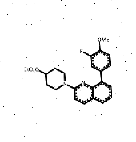 CCOC(=O)C1CCN(c2ccc3cccc(-c4ccc(OC)c(F)c4)c3n2)CC1